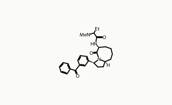 CCC(NC)C(=O)N[C@H]1CCCC[C@H]2CC[C@@H](c3cccc(C(=O)c4ccccc4)c3)N2C1=O